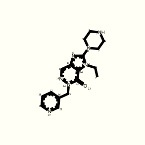 CCn1c(N2CCNCC2)nc2cnn(Cc3cccnc3)c(=O)c21